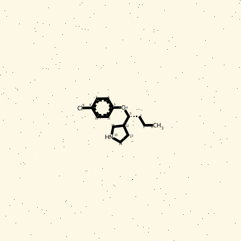 CCC[C@@H](Oc1ccc(Cl)cc1)C1CCNC1